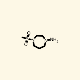 CS(=O)(=O)N1CCCN(N)CC1